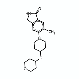 Cc1cc2c(nc1N1CCC(OC3CCOCC3)CC1)CNC2=O